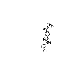 CNC(=S)N1CCc2nc(Nc3cccc(Cl)c3)ncc2C1